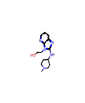 CN1CCC(Nc2nc3cccnc3n2CCO)CC1